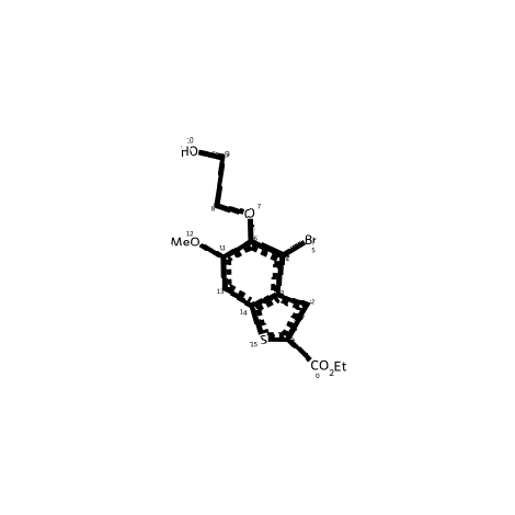 CCOC(=O)c1cc2c(Br)c(OCCO)c(OC)cc2s1